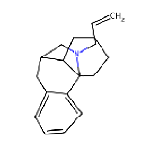 C=CCN1CC2Cc3ccccc3C13CCCCC23